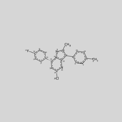 Cc1ccc(-c2c(C)nn3c(-c4ccc(F)cc4)cc(Cl)nc23)cc1